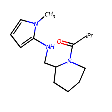 CC(C)C(=O)N1CCCCC1CNc1cccn1C